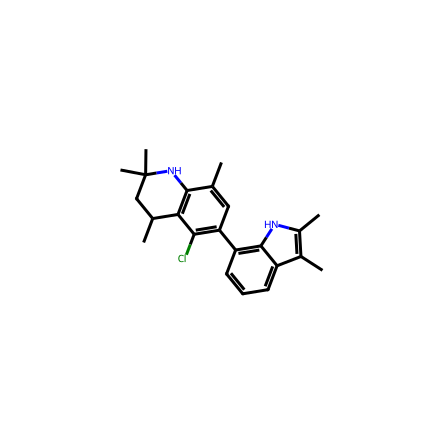 Cc1cc(-c2cccc3c(C)c(C)[nH]c23)c(Cl)c2c1NC(C)(C)CC2C